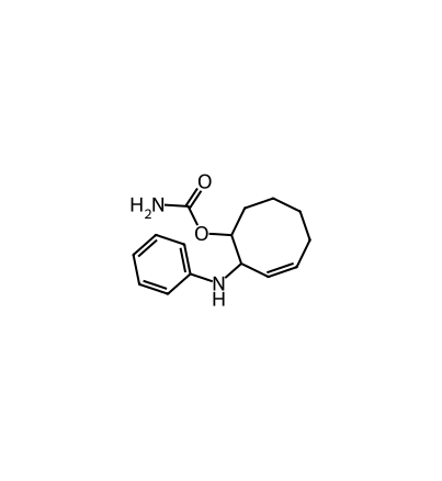 NC(=O)OC1CCCCC=CC1Nc1ccccc1